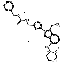 O=C(NCc1noc(-c2cc3c(N[C@@H]4CCNC[C@@H]4F)cccc3n2CC(F)(F)F)n1)OCc1ccccc1